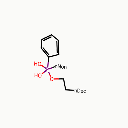 CCCCCCCCCCCCOP(O)(O)(CCCCCCCCC)c1ccccc1